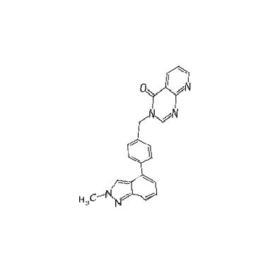 Cn1cc2c(-c3ccc(Cn4cnc5ncccc5c4=O)cc3)cccc2n1